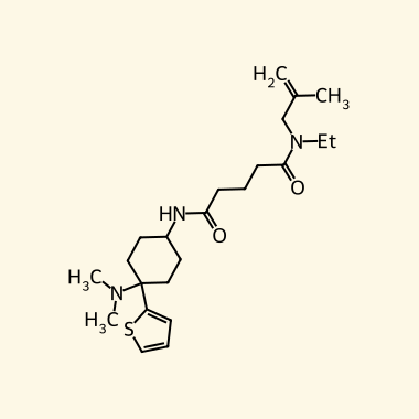 C=C(C)CN(CC)C(=O)CCCC(=O)NC1CCC(c2cccs2)(N(C)C)CC1